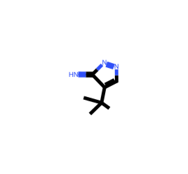 CC(C)(C)C1=CN=NC1=N